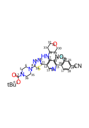 CC(C)(C)OC(=O)N1CCN(c2nnc(-c3cnc(-c4ccc(C#N)cc4F)c([N+](=O)[O-])c3NC3CCOCC3)s2)CC1